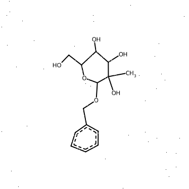 CC1(O)C(OCc2ccccc2)OC(CO)C(O)C1O